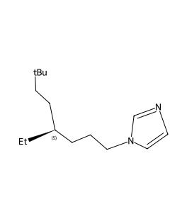 CC[C@H](CCCn1ccnc1)CCC(C)(C)C